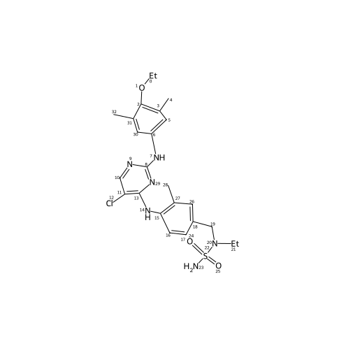 CCOc1c(C)cc(Nc2ncc(Cl)c(Nc3ccc(CN(CC)S(N)(=O)=O)cc3C)n2)cc1C